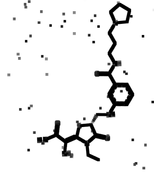 CCN1C(=O)[C@@H](CNc2cccc(C(=O)NCCCN3CCCC3)c2)S/C1=C(/N)C(N)=O